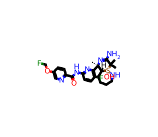 CC1(C)C(N)=N[C@](C)(c2nc(NC(=O)c3ccc(OCF)cn3)ccc2F)[C@H]2CCCCNS21O